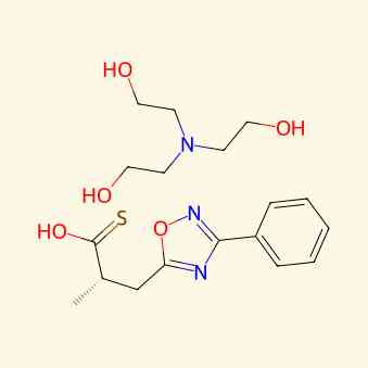 C[C@@H](Cc1nc(-c2ccccc2)no1)C(O)=S.OCCN(CCO)CCO